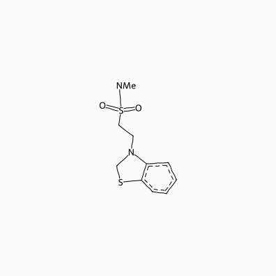 CNS(=O)(=O)CCN1CSc2ccccc21